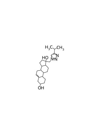 CC(C)c1cn(CC2(O)CCC3C4CC=C5CC(O)CCC5C4CCC32)nn1